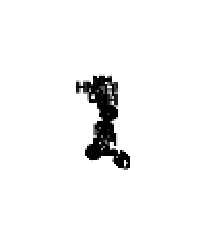 N=C(N)NC(=O)NCc1cccc(-c2cnc(NCc3ccccc3OCCN3CCOCC3)nc2)c1